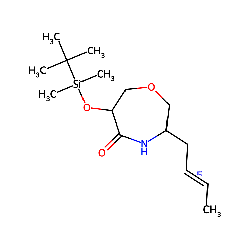 C/C=C/CC1COCC(O[Si](C)(C)C(C)(C)C)C(=O)N1